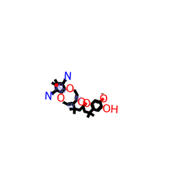 C/C=C(C#N)/C1=C(\C(C#N)=C\C)OC/C=C2/OC3(CC(C)(C)/C2=C/CO1)CC(C)(C)c1cc(O)c(OC)cc1O3